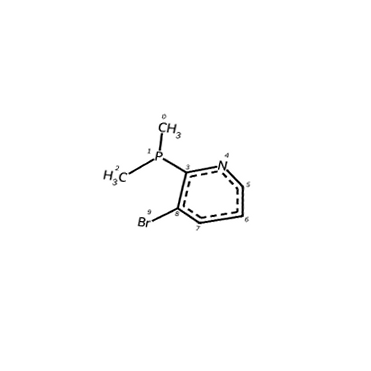 CP(C)c1ncccc1Br